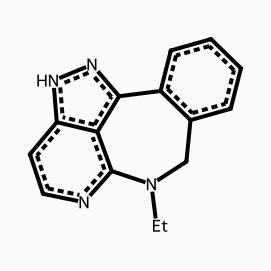 CCN1Cc2ccccc2-c2n[nH]c3ccnc1c23